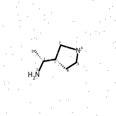 C[C@@H](N)[C@H]1CC[N]C1